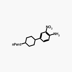 CCCCCC1CCC(c2ccc(N)c([N+](=O)[O-])c2)CC1